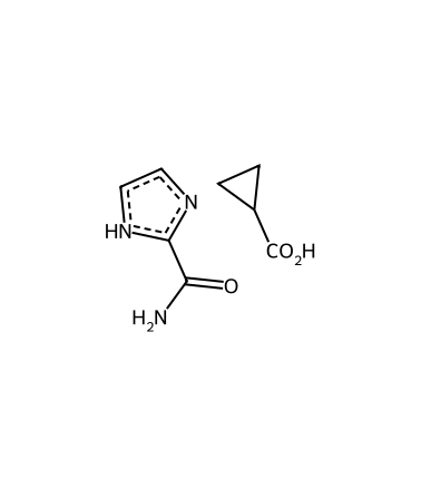 NC(=O)c1ncc[nH]1.O=C(O)C1CC1